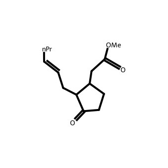 CCCC=CCC1C(=O)CCC1CC(=O)OC